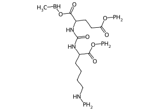 CBOC(=O)C(CCC(=O)OP)NC(=O)NC(CCCCNP)C(=O)OP